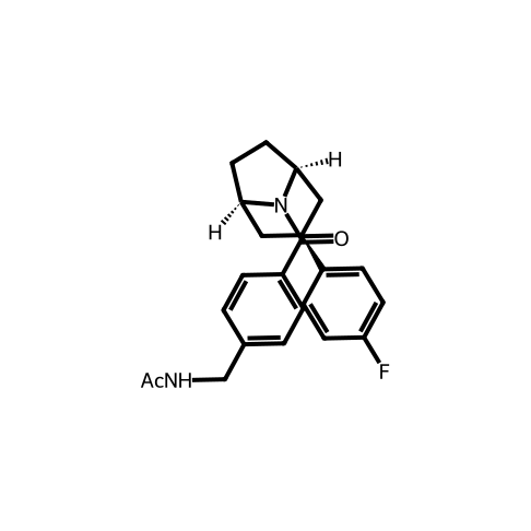 CC(=O)NCc1ccc(C(=O)N2[C@@H]3CC[C@H]2C[C@@H](c2ccc(F)cc2)C3)cc1